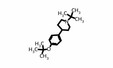 CC(C)(C)Oc1ccc(C2CCN(C(C)(C)C)CC2)cc1